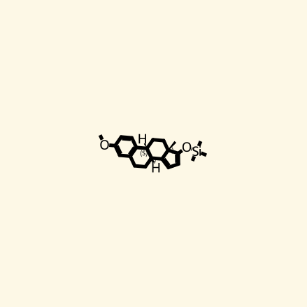 COc1ccc2c(c1)CC[C@H]1C3=CC=C(O[Si](C)(C)C)[C@@]3(C)CC[C@H]21